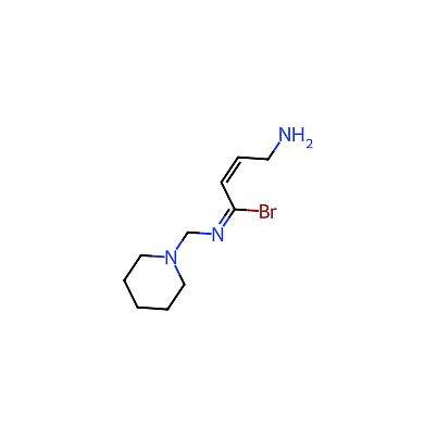 NC/C=C\C(Br)=N/CN1CCCCC1